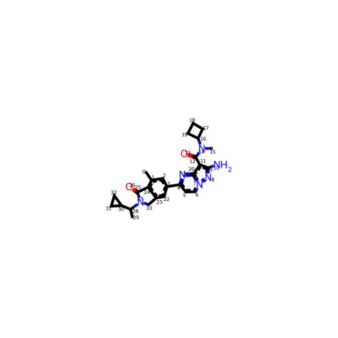 Cc1cc(-c2ccn3nc(N)c(C(=O)N(C)C4CCC4)c3n2)cc2c1C(=O)N(C(C)C1CC1)C2